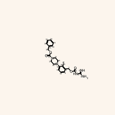 N=C(N)NC(=O)OCc1cccc(N2CCN(C(=O)OCc3ccccc3)CC2)c1F